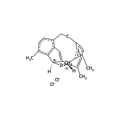 CC1=Cc2c3ccc(C)c2[C@@H]1[Zr+2][C@H]1C(C)=Cc2c(ccc(C)c21)CC3.[Cl-].[Cl-]